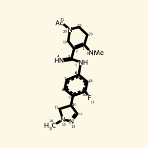 CNC1=C(C(=N)Nc2ccc(C3C=NN(C)C3)c(F)c2)CN(C(C)=O)CC1